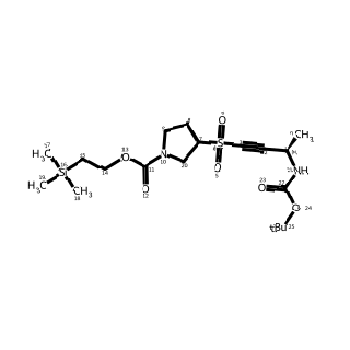 C[C@H](C#CS(=O)(=O)C1CCN(C(=O)OCC[Si](C)(C)C)C1)NC(=O)OC(C)(C)C